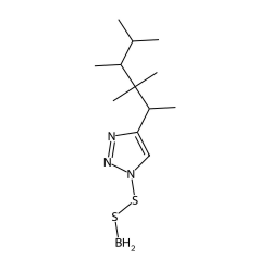 BSSn1cc(C(C)C(C)(C)C(C)C(C)C)nn1